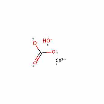 O=C([O-])[O-].[Ce+3].[OH-]